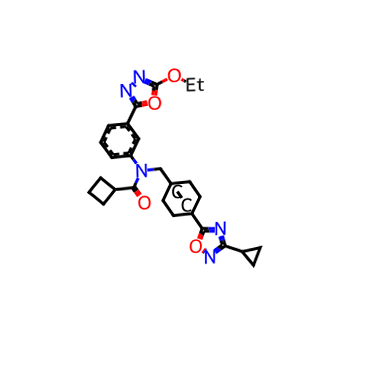 CCOc1nnc(-c2cccc(N(CC34CCC(c5nc(C6CC6)no5)(CC3)CC4)C(=O)C3CCC3)c2)o1